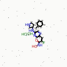 Cl.Cl.O=C(NO)/C(F)=C\c1cnc(N[C@]2(Cc3ccccc3)CCNC2)cn1